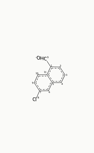 O=[C]c1cccc2cc(Cl)ccc12